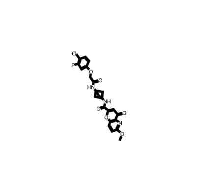 COc1ccc2oc(C(=O)NC34CC(NC(=O)COc5ccc(Cl)c(F)c5)(C3)C4)cc(=O)c2n1